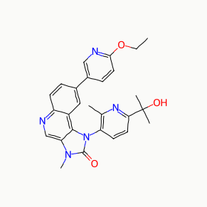 CCOc1ccc(-c2ccc3ncc4c(c3c2)n(-c2ccc(C(C)(C)O)nc2C)c(=O)n4C)cn1